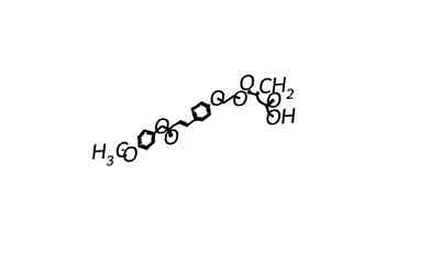 C=C(CC(=O)CO)C(=O)OCCOc1ccc(/C=C/C(=O)Oc2ccc(OC)cc2)cc1